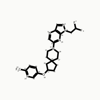 FC(F)Cn1ncc2ncc(N3CCC4(CCC(Oc5ccc(C(F)(F)F)nc5)C4)CC3)nc21